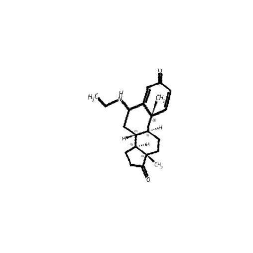 CCNC1C[C@@H]2[C@H](CC[C@]3(C)C(=O)CC[C@@H]23)[C@@]2(C)C=CC(=O)C=C12